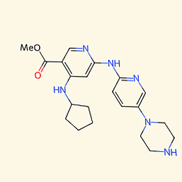 COC(=O)c1cnc(Nc2ccc(N3CCNCC3)cn2)cc1NC1CCCC1